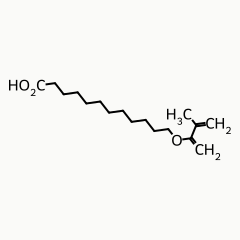 C=C(C)C(=C)OCCCCCCCCCCCC(=O)O